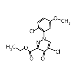 CCOC(=O)c1nn(-c2cc(OC)ccc2Cl)cc(Cl)c1=O